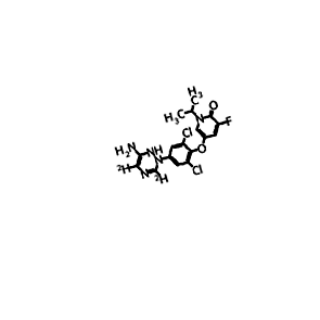 [2H]C1=NC([2H])=C(N)NN1c1cc(Cl)c(Oc2cc(F)c(=O)n(C(C)C)c2)c(Cl)c1